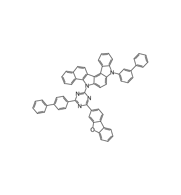 c1ccc(-c2ccc(-c3nc(-c4ccc5c(c4)oc4ccccc45)nc(-n4c5ccc6c(c7ccccc7n6-c6cccc(-c7ccccc7)c6)c5c5ccc6ccccc6c54)n3)cc2)cc1